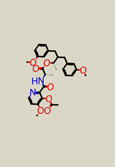 COc1cccc(CC(Cc2cccc(OC)c2)[C@H](C)OC(=O)[C@H](C)NC(=O)c2nccc(OC)c2OC(C)=O)c1